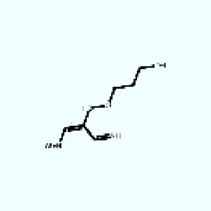 CN/C=C(/BOCCCO)C=N